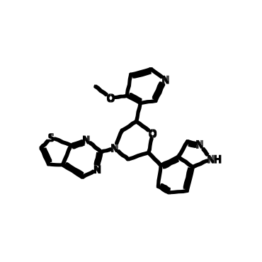 COc1ccncc1C1CN(c2ncc3ccsc3n2)CC(c2cccc3[nH]ncc23)O1